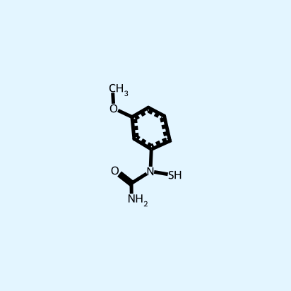 COc1cccc(N(S)C(N)=O)c1